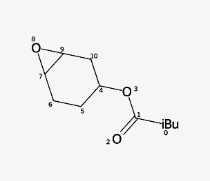 CCC(C)C(=O)OC1CCC2OC2C1